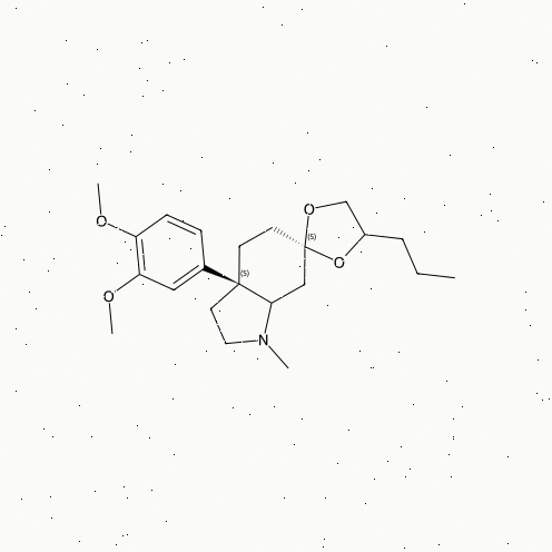 CCCC1CO[C@@]2(CC[C@@]3(c4ccc(OC)c(OC)c4)CCN(C)C3C2)O1